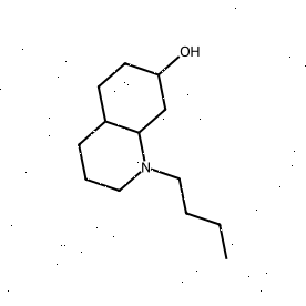 CCCCN1CCCC2CCC(O)CC21